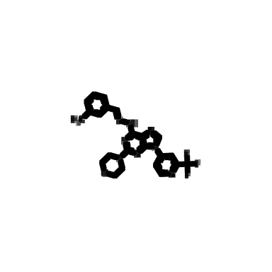 Cc1cccc(C=NNc2nc(N3CCOCC3)nc3c2ncn3-c2ccnc(C(F)(F)F)c2)c1